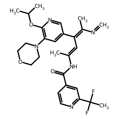 C=N/C(C)=C(\C=C(/C)NC(=O)c1ccnc(C(C)(F)F)c1)c1cnc(OC(C)C)c(N2CCOCC2)c1